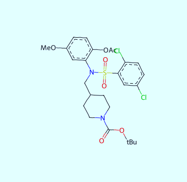 COc1ccc(OC(C)=O)c(N(CC2CCN(C(=O)OC(C)(C)C)CC2)S(=O)(=O)c2cc(Cl)ccc2Cl)c1